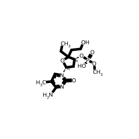 CCC1(CCO)O[C@@H](n2cc(C)c(N)nc2=O)C[C@H]1OP(=O)(O)OC